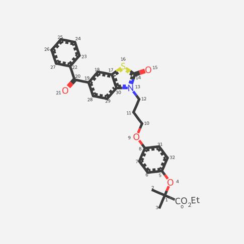 CCOC(=O)C(C)(C)Oc1ccc(OCCCn2c(=O)sc3cc(C(=O)c4ccccc4)ccc32)cc1